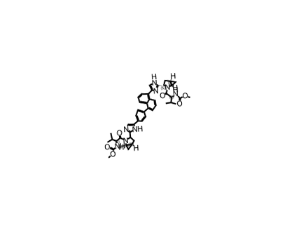 COC(=O)N[C@H](C(=O)N1C(c2ncc(-c3ccc(-c4cccc5c(-c6c[nH]c([C@@H]7C[C@H]8C[C@H]8N7C(=O)[C@@H](NC(=O)OC)C(C)C)n6)cccc45)cc3)[nH]2)C[C@H]2C[C@H]21)C(C)C